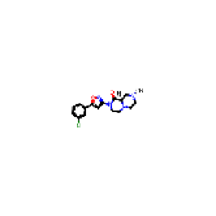 N#CN1CCN2CCN(c3cc(-c4cccc(Cl)c4)on3)C(=O)[C@H]2C1